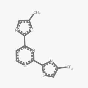 Cc1cnc(-c2c[c]nc(-c3nc(C(F)(F)F)cs3)n2)s1